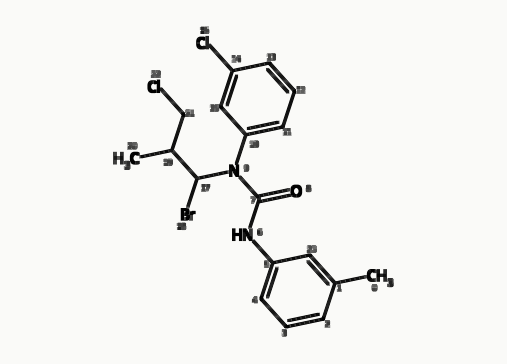 Cc1cccc(NC(=O)N(c2cccc(Cl)c2)C(Br)C(C)CCl)c1